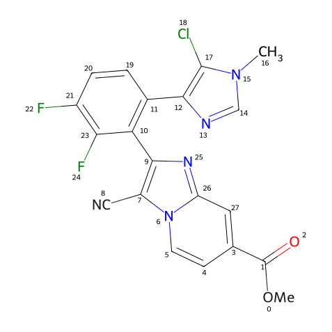 COC(=O)c1ccn2c(C#N)c(-c3c(-c4ncn(C)c4Cl)ccc(F)c3F)nc2c1